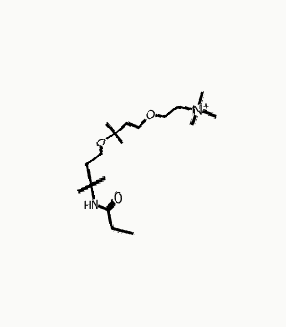 CCC(=O)NC(C)(C)CCOC(C)(C)CCOCC[N+](C)(C)C